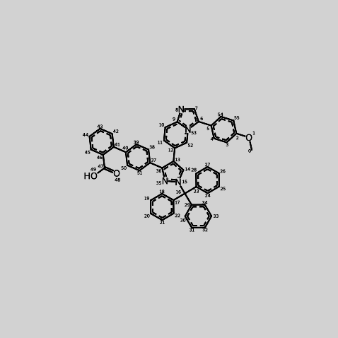 COc1ccc(-c2cnc3ccc(-c4cn(C(c5ccccc5)(c5ccccc5)c5ccccc5)nc4-c4ccc(-c5ccccc5C(=O)O)cc4)cn23)cc1